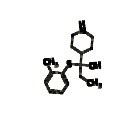 CCC(O)(Sc1ccccc1C)C1CCNCC1